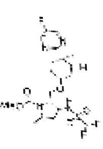 COC(=O)N1[C@H](C)C[C@H](NS(=O)(=O)C(F)F)[C@@H]1CO[C@H]1CC[C@@]2(c3ncc(F)cn3)C[C@H]2C1